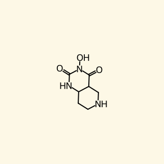 O=C1NC2CCNCC2C(=O)N1O